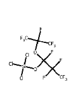 FC(F)(F)C(F)(F)C(F)(OC(F)(C(F)(F)F)C(F)(F)F)O[Si](Cl)(Cl)Cl